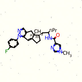 CCCC(C[C@H]1CCC2=Cc3c(cnn3-c3ccc(F)cc3)C[C@@]21C)NC(=O)c1cn(C)cn1